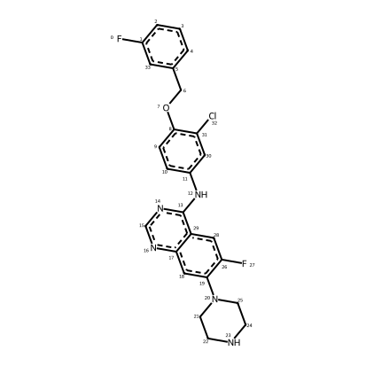 Fc1cccc(COc2ccc(Nc3ncnc4cc(N5CCNCC5)c(F)cc34)cc2Cl)c1